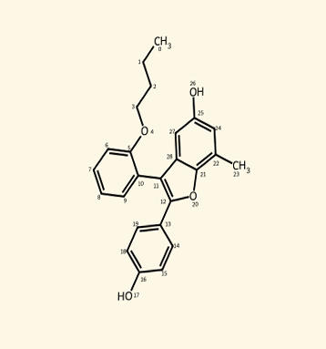 CCCCOc1ccccc1-c1c(-c2ccc(O)cc2)oc2c(C)cc(O)cc12